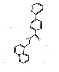 O=C(NCc1cccc2ccccc12)c1ccc(-c2ccccn2)cc1